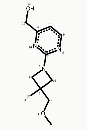 COCC1(F)CN(c2nccc(CO)n2)C1